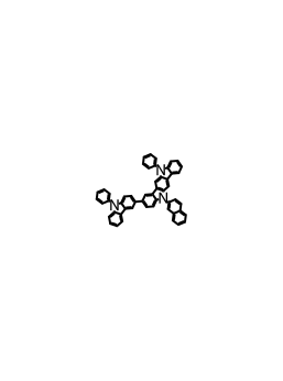 c1ccc(-n2c3ccccc3c3cc(-c4ccc5c(c4)c4cc6c(cc4n5-c4ccc5ccccc5c4)c4ccccc4n6-c4ccccc4)ccc32)cc1